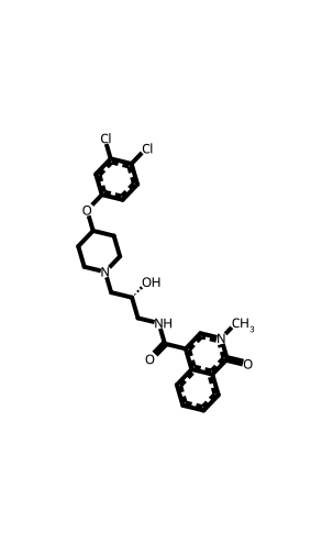 Cn1cc(C(=O)NC[C@@H](O)CN2CCC(Oc3ccc(Cl)c(Cl)c3)CC2)c2ccccc2c1=O